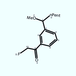 CCCCCC(OC)c1cccc(C(=O)CF)c1